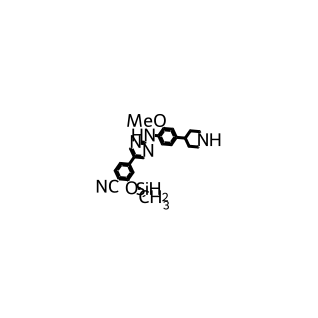 COc1cc(C2CCNCC2)ccc1Nc1ncc(-c2ccc(C#N)c(O[SiH2]C)c2)cn1